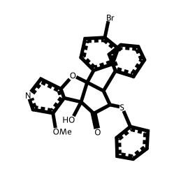 COc1cncc2c1C1(O)C(=O)C(Sc3ccccc3)C(c3ccccc3)C1(c1ccc(Br)cc1)O2